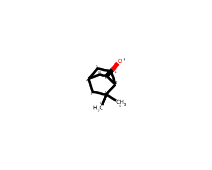 CC1(C)CC2CCC1C(=O)C2